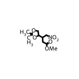 COC(=O)CC(C[N+](=O)[O-])C1COC(C)(C)O1